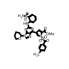 COC(=O)c1cc(-c2nc(Nc3ccccc3S(N)(=O)=O)nc3c2ncn3C2CCCCO2)cn1S(=O)(=O)C(=O)c1ccc(C)cc1